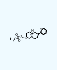 CS(=O)(=O)OC[C@@H]1CC[C@H]2CN(c3ccccn3)CCN2C1